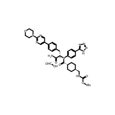 CC(C)(C)OC(=O)NC[C@H]1CC[C@H](C(=O)N(c2ccc(-c3nnn[nH]3)cc2)[C@@H](Cc2ccc(-c3cnc(N4CCOCC4)nc3)cc2)C(N)=O)CC1.O=CO